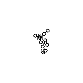 c1ccc(-c2ccc(-c3nc(-c4ccccc4)nc(-c4cccc(C5(c6cccc(-c7cccc8cccnc78)c6)c6ccccc6-c6ccccc65)c4)n3)cc2)cc1